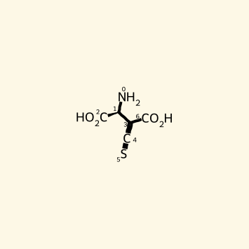 N[C@H](C(=O)O)C(=C=S)C(=O)O